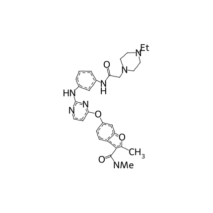 CCN1CCN(CC(=O)Nc2cccc(Nc3nccc(Oc4ccc5c(C(=O)NC)c(C)oc5c4)n3)c2)CC1